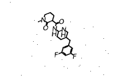 CN1CCCC(C(=O)NC2CCC(Cc3cc(F)cc(F)c3)CN2)C1=O